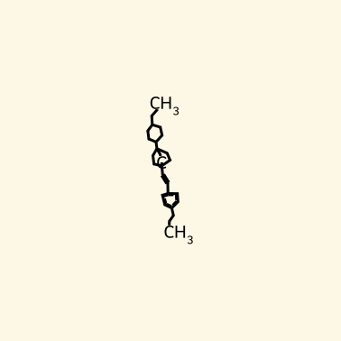 CCCc1ccc(C#CC23CCC(C4CCC(CCC)CC4)(CC2)CC3)cc1